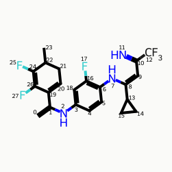 C=C(Nc1ccc(N/C(=C\C(=N)C(F)(F)F)C2CC2)c(F)c1)C1=CCC(C)C(F)=C1F